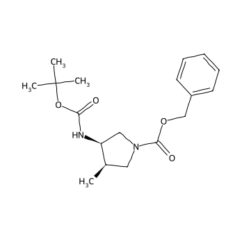 C[C@@H]1CN(C(=O)OCc2ccccc2)C[C@@H]1NC(=O)OC(C)(C)C